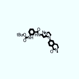 CN1CCc2cc(N3CCn4nc(NC(=O)c5cccc(NC(=O)OC(C)(C)C)c5)cc43)ccc2C1=O